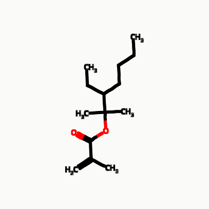 C=C(C)C(=O)OC(C)(C)C(CC)CCCC